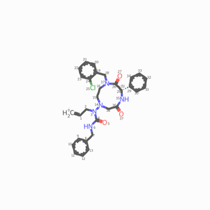 C=CCN(C(=O)NCc1ccccc1)N1CCN(Cc2ccccc2Cl)C(=O)[C@H](c2ccccc2)NC(=O)C1